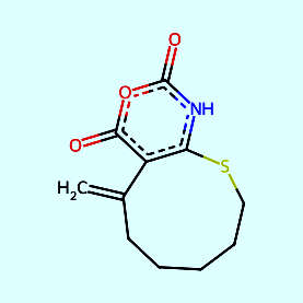 C=C1CCCCCSc2[nH]c(=O)oc(=O)c21